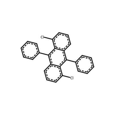 Clc1cccc2c(-c3ccccc3)c3c(Cl)cccc3c(-c3ccccc3)c12